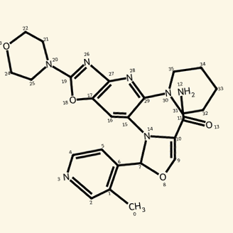 Cc1cnccc1C1OC=C(C(N)=O)N1c1cc2oc(N3CCOCC3)nc2nc1N1CCCCC1